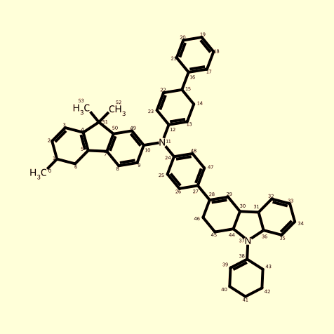 CC1C=CC2=C(C1)c1ccc(N(C3=CCC(c4ccccc4)C=C3)c3ccc(C4=CC5C6C=CC=CC6N(C6=CCCCC6)C5CC4)cc3)cc1C2(C)C